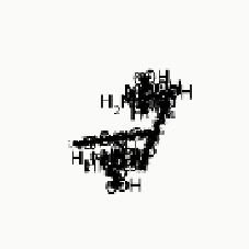 CCCOCCOCCOCCOCCN(CCCCN(C)C(=O)O[C@@H]([C@@H]1OC(C(=O)O)=C[C@H](NC(=N)N)[C@H]1NC(C)=O)[C@H](O)CO)CCOCCN(C)C(=O)O[C@@H]([C@@H]1OC(C(=O)O)=C[C@H](NC(=N)N)[C@H]1C)[C@H](O)CO